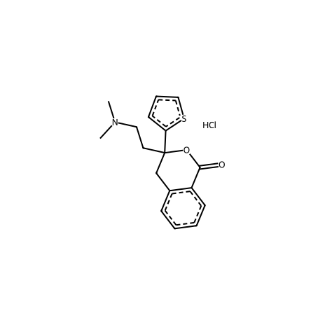 CN(C)CCC1(c2cccs2)Cc2ccccc2C(=O)O1.Cl